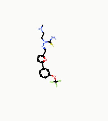 CNCCN(/N=C/c1ccc(-c2cccc(OC(F)(F)F)c2)o1)C(N)=S